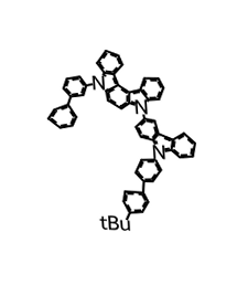 CC(C)(C)c1ccc(-c2ccc(-n3c4ccccc4c4cc(-n5c6ccccc6c6c7c8ccccc8n(-c8cccc(-c9ccccc9)c8)c7ccc65)ccc43)cc2)cc1